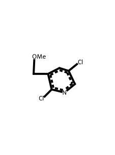 COCc1cc(Cl)cnc1Cl